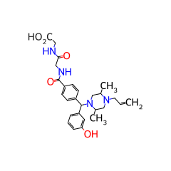 C=CCN1CC(C)N(C(c2ccc(C(=O)NCC(=O)NCC(=O)O)cc2)c2cccc(O)c2)CC1C